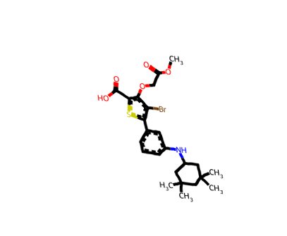 COC(=O)COc1c(C(=O)O)sc(-c2cccc(NC3CC(C)(C)CC(C)(C)C3)c2)c1Br